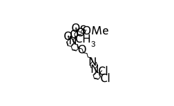 COSOC(=O)OC(C)n1c(=O)ccc2ccc(OCCCCN3CCN(c4cccc(Cl)c4Cl)CC3)cc21